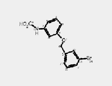 O=C(O)Nc1cccc(OCc2cccc(Br)c2)c1